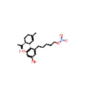 C=C(C)[C@H]1CCC(C)=C[C@@H]1c1c(O)cc(O)cc1CCCCCO[N+](=O)[O-]